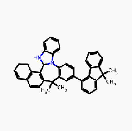 CC1(C)c2ccccc2-c2c(-c3ccc4c(c3)C(C)(C)c3ccc5c(c3C3Nc6ccccc6N43)CCC=C5)cccc21